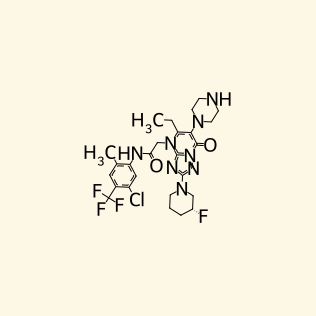 CCc1c(N2CCNCC2)c(=O)n2nc(N3CCC[C@@H](F)C3)nc2n1CC(=O)Nc1cc(Cl)c(C(F)(F)F)cc1C